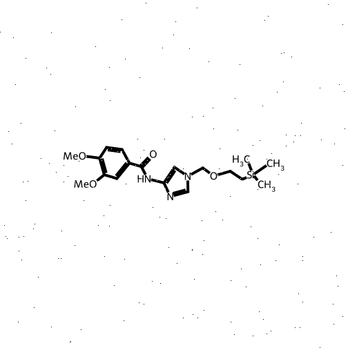 COc1ccc(C(=O)Nc2cn(COCC[Si](C)(C)C)cn2)cc1OC